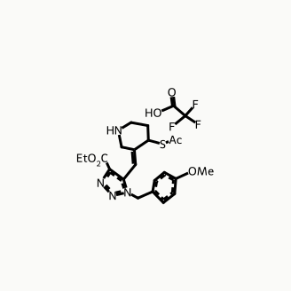 CCOC(=O)c1nnn(Cc2ccc(OC)cc2)c1C=C1CNCCC1SC(C)=O.O=C(O)C(F)(F)F